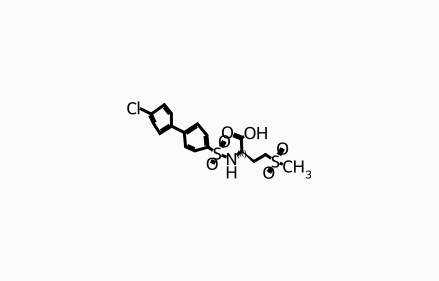 CS(=O)(=O)CC[C@@H](NS(=O)(=O)c1ccc(-c2ccc(Cl)cc2)cc1)C(=O)O